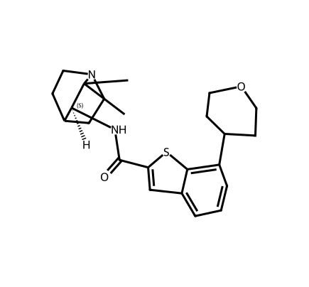 CC1(C)[C@@H](NC(=O)c2cc3cccc(C4CCOCC4)c3s2)C2CCN1CC2